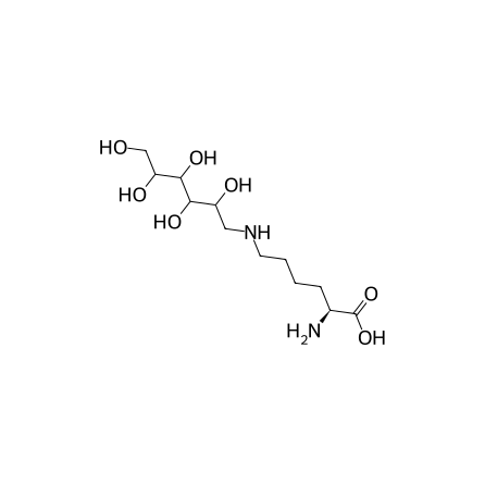 N[C@@H](CCCCNCC(O)C(O)C(O)C(O)CO)C(=O)O